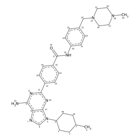 CC1CCC(n2cnc3c(N)nc(-c4ccc(C(=O)Nc5ccc(CN6CCN(C)CC6)cc5)cc4)nc32)CC1